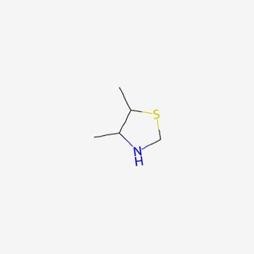 CC1NCSC1C